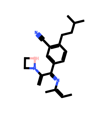 C=C(/C(=N\C(C)=C/C)c1ccc(CCC(C)C)c(C#N)c1)N1BCC1